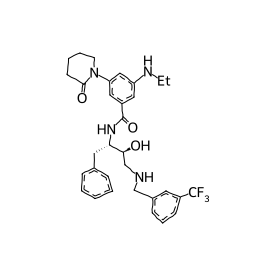 CCNc1cc(C(=O)N[C@@H](Cc2ccccc2)[C@@H](O)CNCc2cccc(C(F)(F)F)c2)cc(N2CCCCC2=O)c1